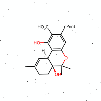 CCCCCc1cc2c(c(O)c1C(=O)O)[C@@H]1C=C(C)CC[C@@]1(O)C(C)(C)O2